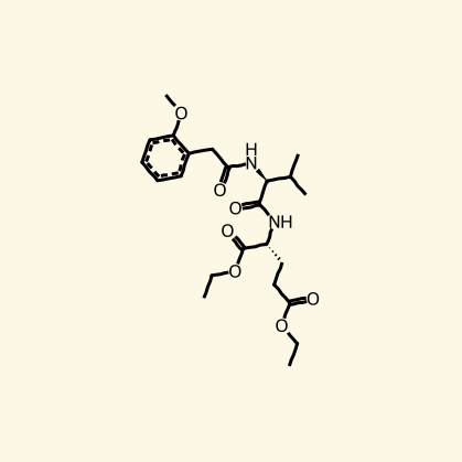 CCOC(=O)CC[C@@H](NC(=O)[C@@H](NC(=O)Cc1ccccc1OC)C(C)C)C(=O)OCC